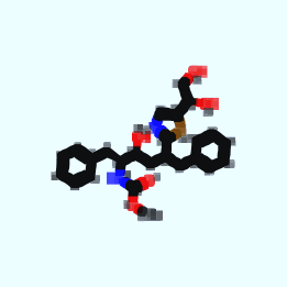 CC(C)(C)OC(=O)N[C@@H](Cc1ccccc1)[C@@H](O)CC(Cc1ccccc1)c1ncc([C@H](O)CO)s1